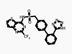 O=S(=O)(Cc1ccc(-c2ccccc2-c2nnn[nH]2)cc1)Nc1nc(C(F)(F)F)nc2ccsc12